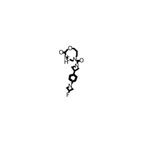 O=C1COCCCN(C(=O)N2CC(c3ccc(N4CC(F)C4)cc3)C2)CCN1